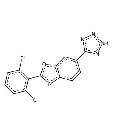 Clc1cccc(Cl)c1-c1nc2ccc(-c3nn[nH]n3)cc2o1